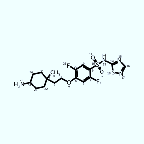 CC1(CCOc2cc(F)c(S(=O)(=O)Nc3ncns3)cc2F)CCC(N)CC1